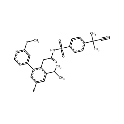 COc1cc(-c2cc(F)cc(C(C)C)c2CC(=O)NS(=O)(=O)c2ccc(C(C)(C)C#N)cc2)ccn1